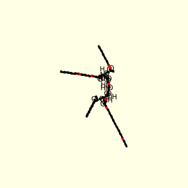 C#CC#CC#CC#CC#CC#CC#CC#CC#CC#CC#CC(=O)CC(=O)N[C@H](COCC[C@@H](C#C)OC(=O)C#CC#CC#CC#CC#CC#CC)COP(=O)(O)OCCNC(=O)NCCOP(=O)(O)OC[C@@H](COCC[C@@H](C#C)CC(=O)C#CC#CC#CC#CC#CC)NC(=O)CC(=O)C#CC#CC#CC#CC#CC#CC#CC#CC#CC#CC#CC#CC